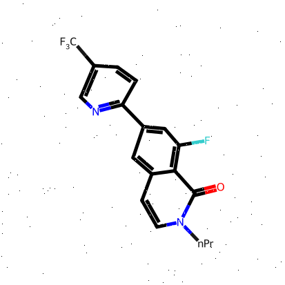 CCCn1ccc2cc(-c3ccc(C(F)(F)F)cn3)cc(F)c2c1=O